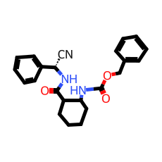 N#C[C@H](NC(=O)C1CCCCC1NC(=O)OCc1ccccc1)c1ccccc1